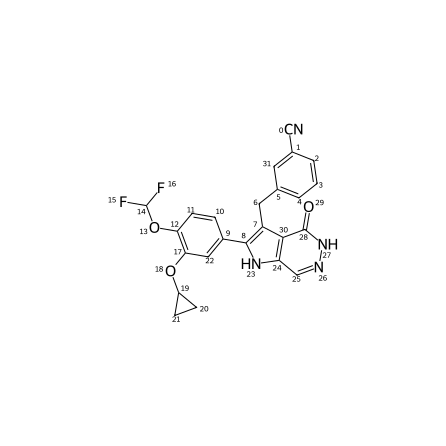 N#Cc1cccc(Cc2c(-c3ccc(OC(F)F)c(OC4CC4)c3)[nH]c3cn[nH]c(=O)c23)c1